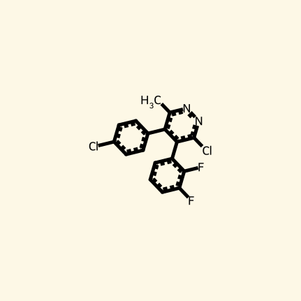 Cc1nnc(Cl)c(-c2cccc(F)c2F)c1-c1ccc(Cl)cc1